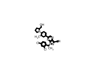 C[C@H](c1ccc(Cl)cc1Cl)n1nc(C#N)c2ncc(C3=CC[C@@H](N4CCCC4CO)[C@@H](C)C3)nc21